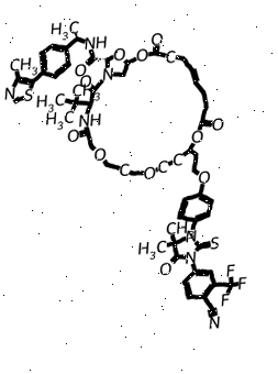 Cc1ncsc1-c1ccc([C@H](C)NC(=O)[C@@H]2OC3CN2C(=O)C(C(C)(C)C)NC(=O)COCCCOCCC(CCOc2ccc(N4C(=S)N(c5ccc(C#N)c(C(F)(F)F)c5)C(=O)C4(C)C)cc2)OC(=O)CC/C=C/CCC(=O)O3)cc1